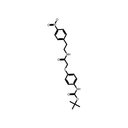 CC(C)(C)OC(=O)Nc1ccc(SCC(=O)NCCc2ccc([N+](=O)[O-])cc2)cc1